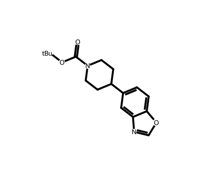 CC(C)(C)OC(=O)N1CCC(c2ccc3ocnc3c2)CC1